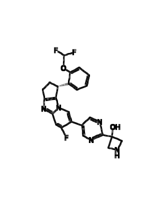 OC1(c2ncc(-c3cn4c5c(nc4cc3F)CC[C@@H]5c3ccccc3OC(F)F)cn2)CNC1